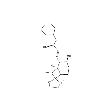 CC1[C@H]2[C@H](/C=C/[C@@H](O)CC3CCCCC3)[C@@H](O)CC[C@@]2(C)C12OCCO2